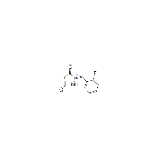 O=C1CC(=O)/C(=C/c2ccccc2F)N1